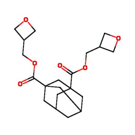 O=C(OCC1COC1)C12CC3CC(C1)CC(C(=O)OCC1COC1)(C3)C2